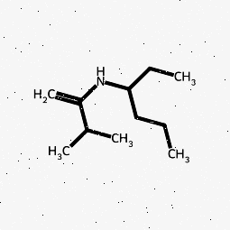 C=C(NC(CC)CCC)C(C)C